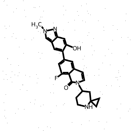 Cn1cc2cc(-c3cc(F)c4c(=O)n(C5CCNC6(CC6)C5)ccc4c3)c(O)cc2n1